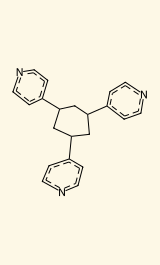 c1cc(C2CC(c3ccncc3)CC(c3ccncc3)C2)ccn1